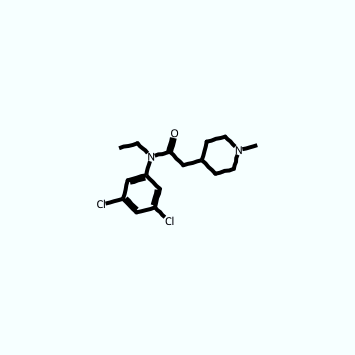 CCN(C(=O)CC1CCN(C)CC1)c1cc(Cl)cc(Cl)c1